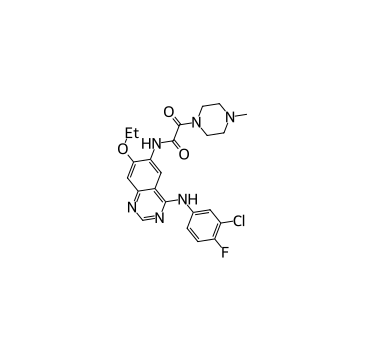 CCOc1cc2ncnc(Nc3ccc(F)c(Cl)c3)c2cc1NC(=O)C(=O)N1CCN(C)CC1